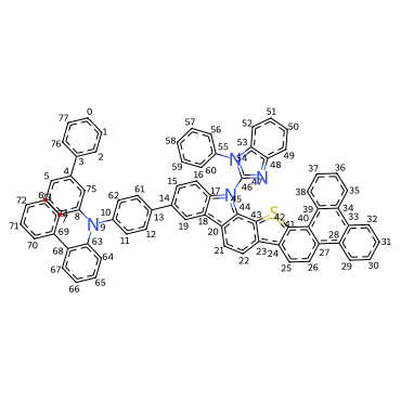 c1ccc(-c2cccc(N(c3ccc(-c4ccc5c(c4)c4ccc6c7ccc8c9ccccc9c9ccccc9c8c7sc6c4n5-c4nc5ccccc5n4-c4ccccc4)cc3)c3ccccc3-c3ccccc3)c2)cc1